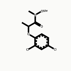 CON(C)C(=O)C(C)Oc1ccc(Cl)cc1Cl